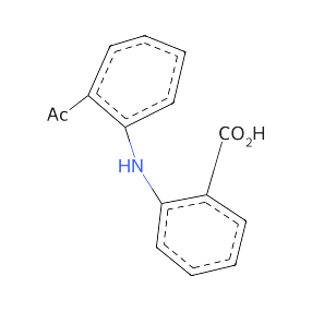 CC(=O)c1ccccc1Nc1ccccc1C(=O)O